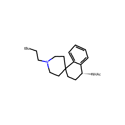 CC(=O)N[C@@H]1CCC2(CCN(CCC(C)(C)C)CC2)c2ccccc21